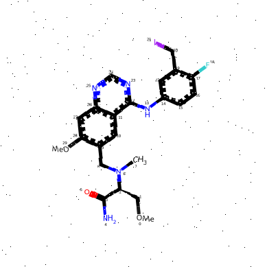 COC[C@@H](C(N)=O)N(C)Cc1cc2c(Nc3ccc(F)c(CI)c3)ncnc2cc1OC